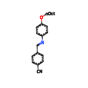 CCCCCCCCOc1ccc(N=Cc2ccc(C#N)cc2)cc1